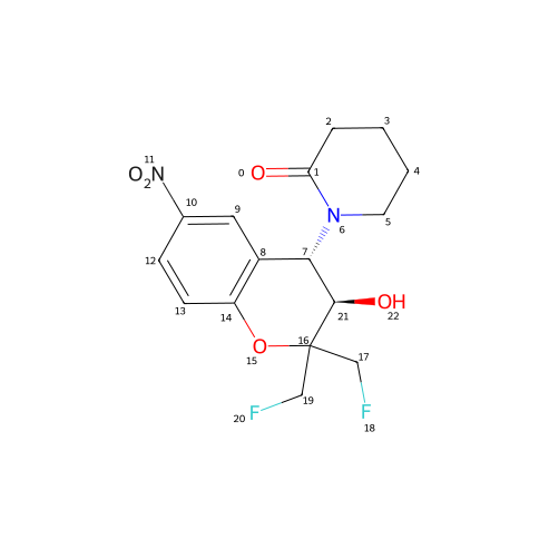 O=C1CCCCN1[C@H]1c2cc([N+](=O)[O-])ccc2OC(CF)(CF)[C@@H]1O